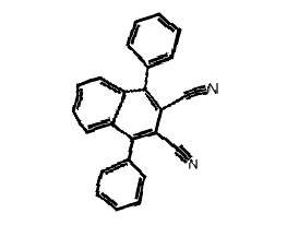 N#Cc1c(C#N)c(-c2ccccc2)c2ccccc2c1-c1ccccc1